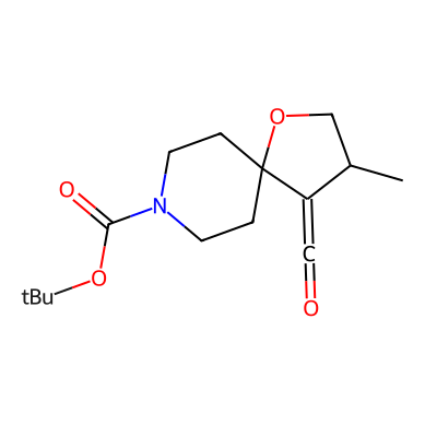 CC1COC2(CCN(C(=O)OC(C)(C)C)CC2)C1=C=O